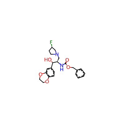 O=C(N[C@H](CN1CC[C@@H](F)C1)[C@H](O)c1ccc2c(c1)OCCO2)OCc1ccccc1